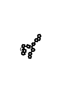 c1cc(-c2ccc3ccccc3c2)cc(N(c2ccc(-c3ccc4c(ccc5ccccc54)c3)cc2)c2ccc(-c3cccc4oc5c6ccccc6ccc5c34)cc2)c1